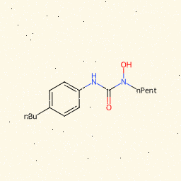 CCCCCN(O)C(=O)Nc1ccc(CCCC)cc1